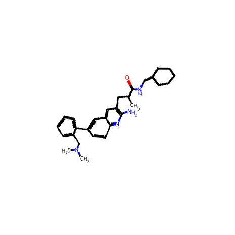 CC(Cc1cc2cc(-c3ccccc3CN(C)C)ccc2nc1N)C(=O)NCC1CCCCC1